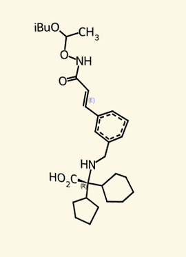 CC(C)COC(C)ONC(=O)/C=C/c1cccc(CN[C@](C(=O)O)(C2CCCCC2)C2CCCC2)c1